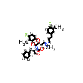 Cc1cc(CCCN(C)CC[C@@H](Oc2ccc(F)c(C)c2)C(=O)N2C(=O)OC[C@@H]2Cc2ccccc2)ccc1F